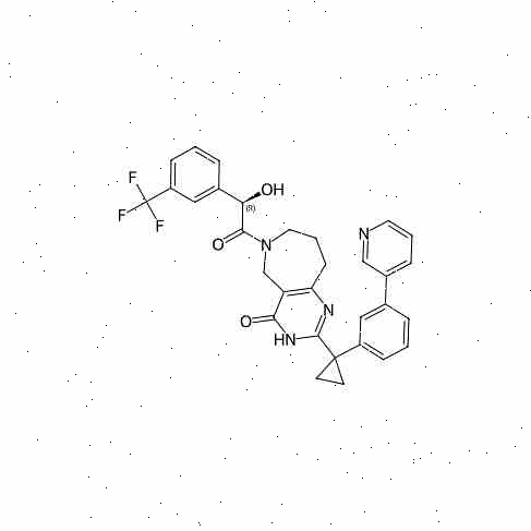 O=C([C@H](O)c1cccc(C(F)(F)F)c1)N1CCCc2nc(C3(c4cccc(-c5cccnc5)c4)CC3)[nH]c(=O)c2C1